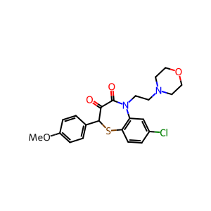 COc1ccc(C2Sc3ccc(Cl)cc3N(CCN3CCOCC3)C(=O)C2=O)cc1